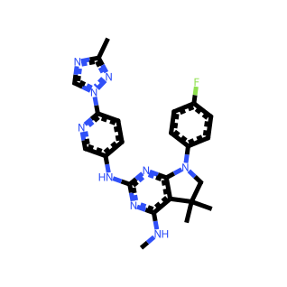 CNc1nc(Nc2ccc(-n3cnc(C)n3)nc2)nc2c1C(C)(C)CN2c1ccc(F)cc1